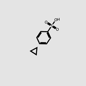 C1CC1.O=S(=O)(O)c1ccccc1